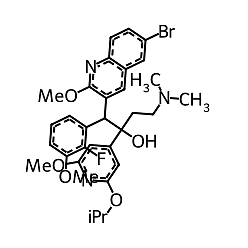 COc1cc(C(O)(CCN(C)C)C(c2cc3cc(Br)ccc3nc2OC)c2cccc(OC)c2F)cc(OC(C)C)n1